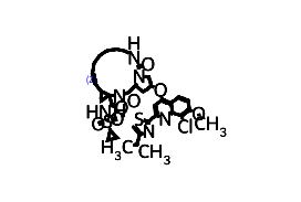 COc1ccc2c(OC3CC4C(=O)NC5(C(=O)NS(=O)(=O)C6CC6)CC5/C=C\CCCCCNC(=O)N4C3)cc(-c3nc(C(C)C)cs3)nc2c1Cl